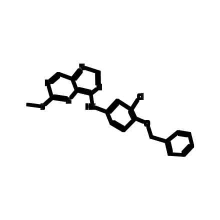 CSc1ncc2ncnc(Nc3ccc(OCc4ccccc4)c(Cl)c3)c2n1